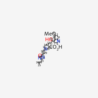 COc1ccc2nccc(C(O)CC[C@@H]3CCN(C4CC(c5nc(CC6CC6)no5)C4)C[C@@H]3C(=O)O)c2c1